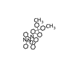 Cc1ccc(C2(c3ccc(C)cc3)c3ccccc3-c3c(N(c4nc(-c5ccccc5)nc5ccccc45)c4cccc5c4oc4ccccc45)cccc32)cc1